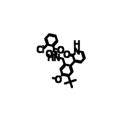 COc1cc(CNS(=O)(=O)c2ccccc2Cl)c(-c2ccc[nH]c2=O)cc1C(C)(C)C